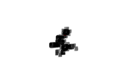 O=C[C@H](CN1C(=O)OC[C@H]1Cc1ccccc1)c1cc(C(F)(F)F)cc(C(F)(F)F)c1